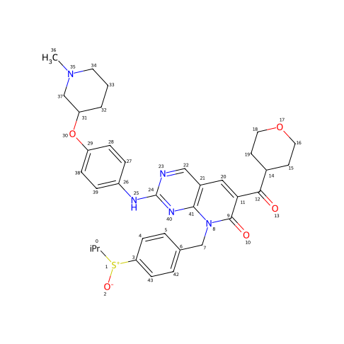 CC(C)[S+]([O-])c1ccc(Cn2c(=O)c(C(=O)C3CCOCC3)cc3cnc(Nc4ccc(OC5CCCN(C)C5)cc4)nc32)cc1